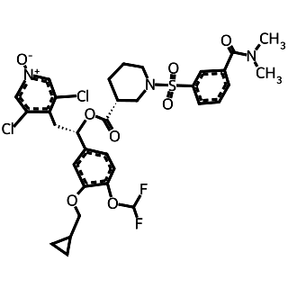 CN(C)C(=O)c1cccc(S(=O)(=O)N2CCC[C@@H](C(=O)O[C@@H](Cc3c(Cl)c[n+]([O-])cc3Cl)c3ccc(OC(F)F)c(OCC4CC4)c3)C2)c1